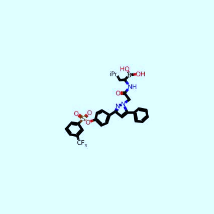 CC(C)CC(NC(=O)Cn1nc(-c2ccc(OS(=O)(=O)c3cccc(C(F)(F)F)c3)cc2)cc1-c1ccccc1)B(O)O